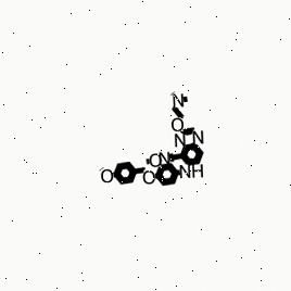 COc1ccc(COc2ccc(Nc3ccc4ncc(OCCN(C)C)nc4c3C#N)cc2OC)cc1